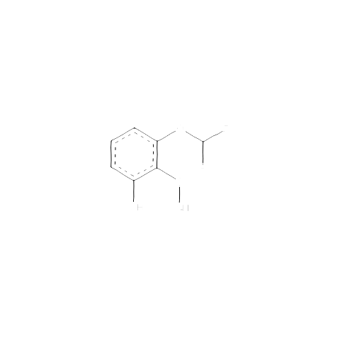 Cc1cccc(OC(F)F)c1SS